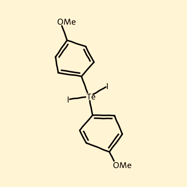 COc1ccc([Te](I)(I)c2ccc(OC)cc2)cc1